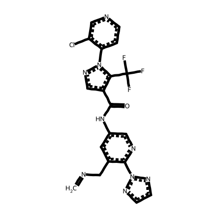 C=NCc1cc(NC(=O)c2cnn(-c3ccncc3Cl)c2C(F)(F)F)cnc1-n1nccn1